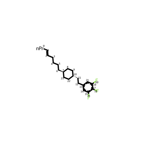 CCC/C=C/CCCC[C@H]1CC[C@H](CCc2cc(F)c(F)c(F)c2)CC1